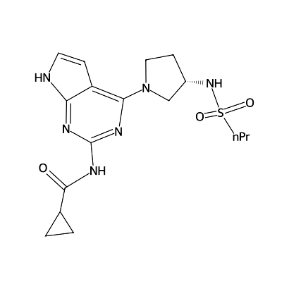 CCCS(=O)(=O)N[C@H]1CCN(c2nc(NC(=O)C3CC3)nc3[nH]ccc23)C1